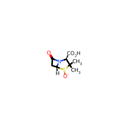 CC1(C)[C@H](C(=O)O)N2C(=O)C[C@H]2[S+]1[O-]